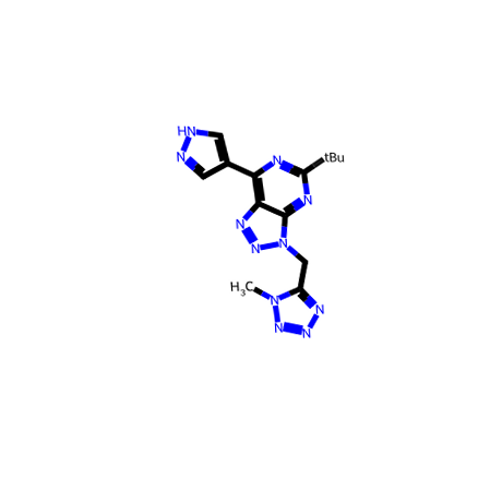 Cn1nnnc1Cn1nnc2c(-c3cn[nH]c3)nc(C(C)(C)C)nc21